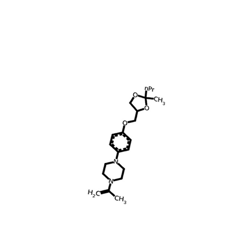 C=C(C)N1CCN(c2ccc(OCC3COC(C)(CCC)O3)cc2)CC1